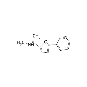 C=C(NC)c1ccc(-c2cccnc2)o1